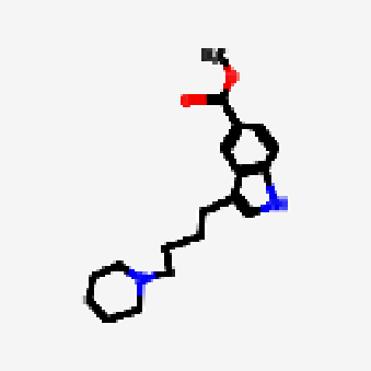 COC(=O)c1ccc2[nH]cc(CCCCN3CC[CH]CC3)c2c1